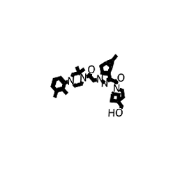 Cc1cccc(N2CCN(C(=O)Cn3nc(C(=O)N4CCC5(CO)CC4C5)c4c3CC3C(C)C43)C(C)(C)C2)c1C